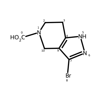 O=C(O)N1CCc2[nH]nc(Br)c2C1